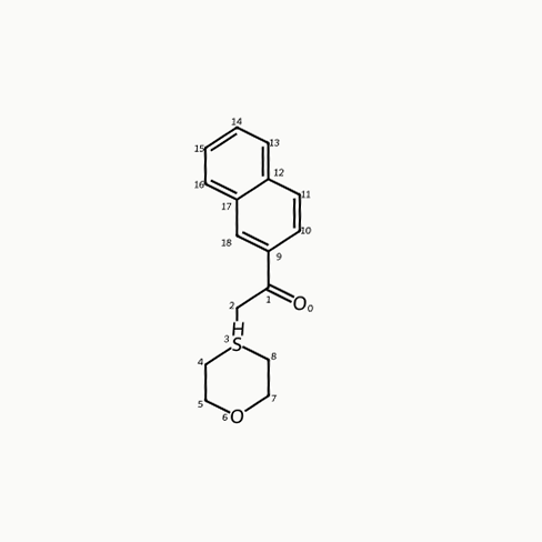 O=C(C[SH]1CCOCC1)c1ccc2ccccc2c1